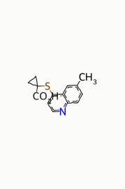 Cc1ccc2nccc(SC3(C(=O)O)CC3)c2c1